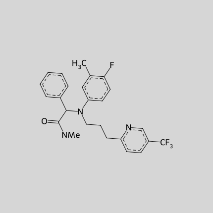 CNC(=O)C(c1ccccc1)N(CCCc1ccc(C(F)(F)F)cn1)c1ccc(F)c(C)c1